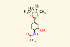 CC(=O)Nc1ccc(B2OC(C)(C)C(C)(C)O2)cc1O